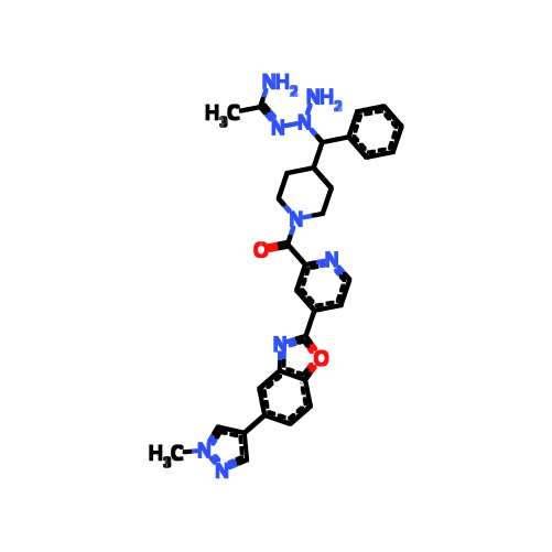 C/C(N)=N/N(N)C(c1ccccc1)C1CCN(C(=O)c2cc(-c3nc4cc(-c5cnn(C)c5)ccc4o3)ccn2)CC1